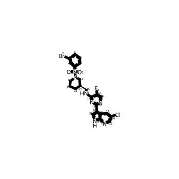 O=S(=O)(c1cccc(Br)c1)N1CCC[C@H](CNc2nc(-c3c[nH]c4ncc(Cl)cc34)ncc2F)C1